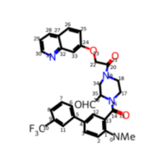 CNc1ccc(-c2cccc(C(F)(F)F)c2)cc1C(=O)N1CCN(C(=O)COc2ccc3cccnc3c2)CC1C=O